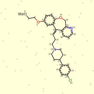 COCCOc1ccc2c(c1)/C(=C/CCN1CCC(c3ccc(Cl)cc3)CC1)c1cccnc1CO2